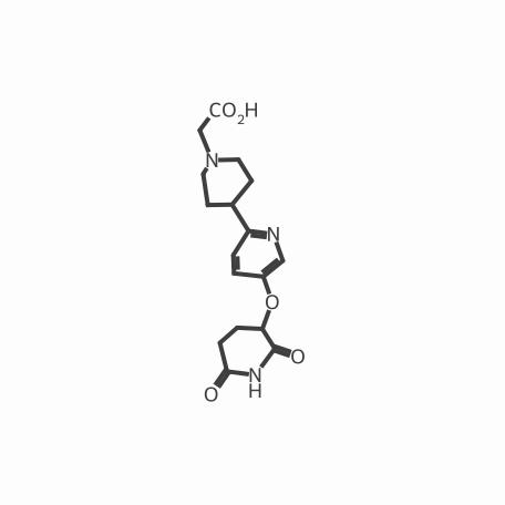 O=C(O)CN1CCC(c2ccc(OC3CCC(=O)NC3=O)cn2)CC1